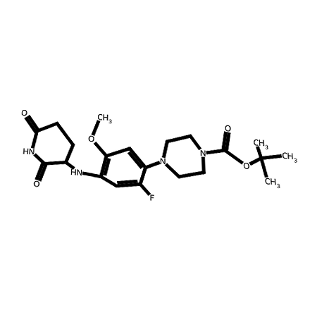 COc1cc(N2CCN(C(=O)OC(C)(C)C)CC2)c(F)cc1NC1CCC(=O)NC1=O